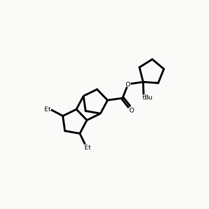 CCC1CC(CC)C2C3CC(CC3C(=O)OC3(C(C)(C)C)CCCC3)C12